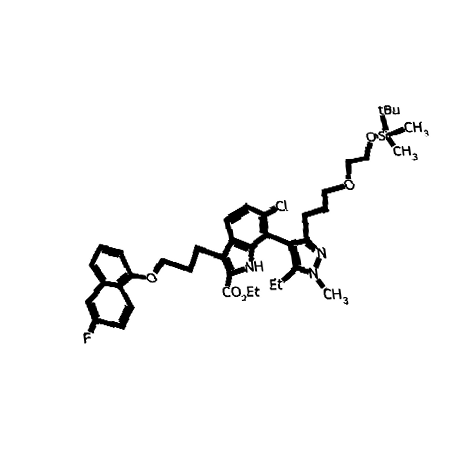 CCOC(=O)c1[nH]c2c(-c3c(CCCOCCO[Si](C)(C)C(C)(C)C)nn(C)c3CC)c(Cl)ccc2c1CCCOc1cccc2cc(F)ccc12